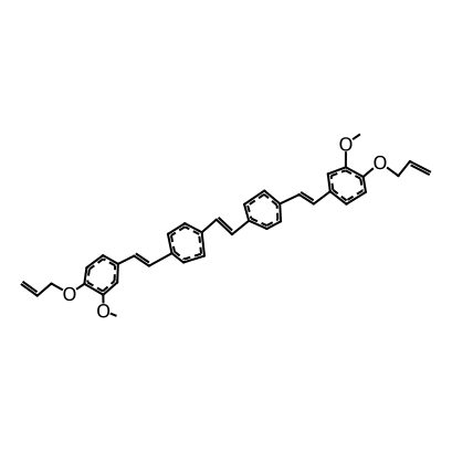 C=CCOc1ccc(C=Cc2ccc(C=Cc3ccc(C=Cc4ccc(OCC=C)c(OC)c4)cc3)cc2)cc1OC